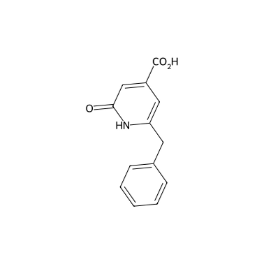 O=C(O)c1cc(Cc2ccccc2)[nH]c(=O)c1